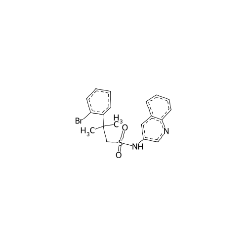 CC(C)(CS(=O)(=O)Nc1cnc2ccccc2c1)c1ccccc1Br